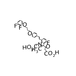 Cc1c(C(=O)CCC(=O)O)c2c(F)ccc(/C=C/c3ccc(OCCCCOc4cccc(F)c4F)cc3)c2n1CC(=O)O